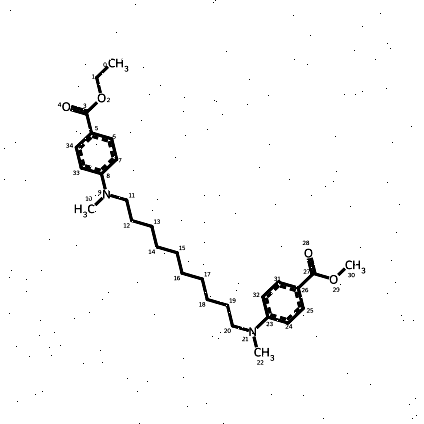 CCOC(=O)c1ccc(N(C)CCCCCCCCCCN(C)c2ccc(C(=O)OC)cc2)cc1